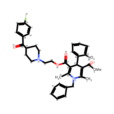 COC(=O)C1=C(C)N(Cc2ccccc2)C(C)=C(C(=O)OCCN2CCC(C(=O)c3ccc(F)cc3)CC2)C1c1ccccc1[N+](=O)[O-]